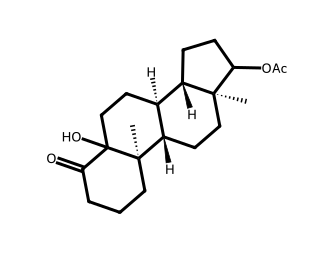 CC(=O)OC1CC[C@H]2[C@@H]3CCC4(O)C(=O)CCC[C@]4(C)[C@H]3CC[C@]12C